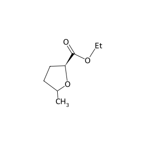 CCOC(=O)[C@@H]1CCC(C)O1